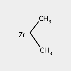 CCC.[Zr]